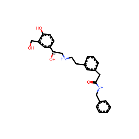 O=C(Cc1cccc(CCNC[C@@H](O)c2ccc(O)c(CO)c2)c1)NCc1ccccc1